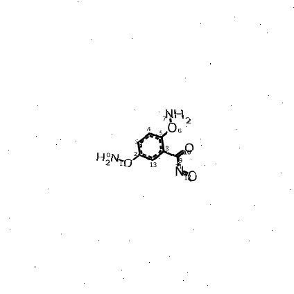 NOc1ccc(ON)c(C(=O)N=O)c1